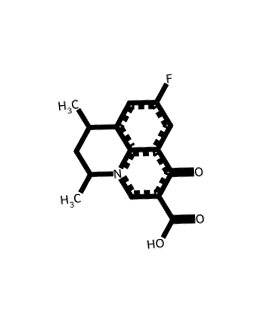 CC1CC(C)n2cc(C(=O)O)c(=O)c3cc(F)cc1c32